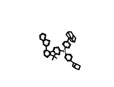 CC1(C)c2cc(N(c3ccc(C4CC5CCC4C5)cc3)c3ccc(C45CC6CC(CC(C6)C4)C5)cc3)ccc2-c2c(-c3ccc4ccccc4c3)cccc21